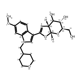 COc1ccc2c(C3=N[C@@H]4C(O)[C@H](O)[C@@H](CO)O[C@@H]4O3)cn(CC3CCOCC3)c2c1